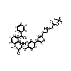 CC(C)(C)OC(=O)CNCCc1cc(-c2ccc(C[C@H](Nc3ccccc3C(=O)c3ccccc3)C(=O)O)cc2)cs1